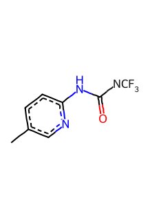 Cc1ccc(NC(=O)NC(F)(F)F)nc1